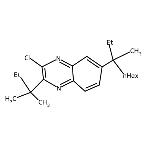 CCCCCCC(C)(CC)c1ccc2nc(C(C)(C)CC)c(Cl)nc2c1